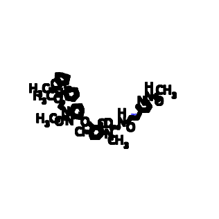 COc1nc2c(OCc3c(Cl)ccc(N(C)C(=O)CNC(=O)/C=C/c4ccc(NC(C)=O)nc4)c3Cl)cccc2n1CCO[Si](c1ccccc1)(c1ccccc1)C(C)(C)C